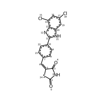 O=C1NC(=O)/C(=C\c2ccc(-c3nc4c(Cl)cc(Cl)cc4[nH]3)cc2)S1